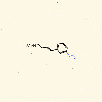 CNCCC=Cc1cccc(N)c1